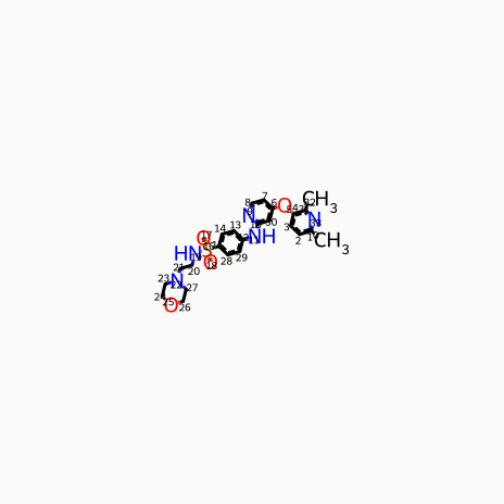 Cc1ccc(Oc2ccnc(Nc3ccc(S(=O)(=O)NCCN4CCOCC4)cc3)c2)c(C)n1